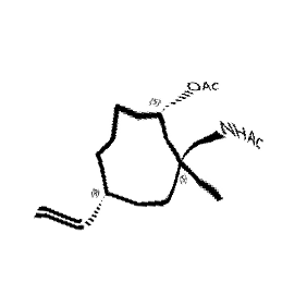 C=C[C@@H]1CC[C@H](OC(C)=O)[C@@](C)(NC(C)=O)C1